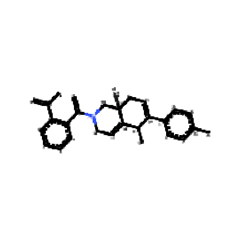 C=C(C)c1ccccc1C(=C)N1CC=C2C(C)C(c3ccc(C)cc3)=CCC2(CC)C1